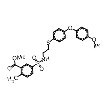 COC(=O)c1cc(S(=O)(=O)NCCSc2ccc(Oc3ccc(OC(C)C)cc3)cc2)ccc1C